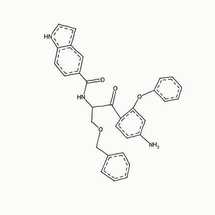 Nc1ccc(C(=O)C(COCc2ccccc2)NC(=O)c2ccc3[nH]ccc3c2)c(Oc2ccccc2)c1